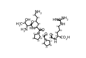 C[C@@H](O)[C@H](N)C(=O)N[C@@H](CCCCN)C(=O)N1CCC[C@H]1C(=O)N1CCC[C@H]1C(=O)N[C@@H](CCCNC(=N)N)C(=O)O